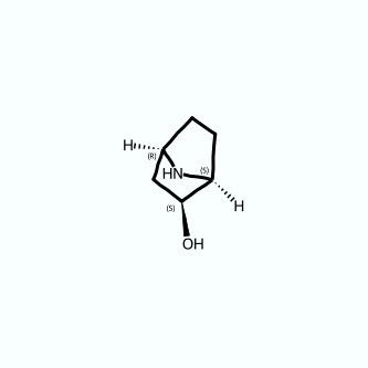 O[C@H]1C[C@H]2CC[C@@H]1N2